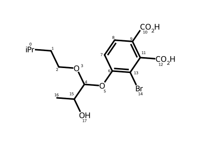 CC(C)CCOC(Oc1ccc(C(=O)O)c(C(=O)O)c1Br)C(C)O